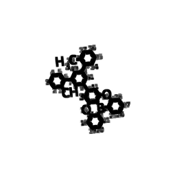 Cc1ccccc1-c1cc(-c2cc3c4c(c2)Oc2ccccc2B4c2ccccc2O3)cc(-c2ccccc2C)c1